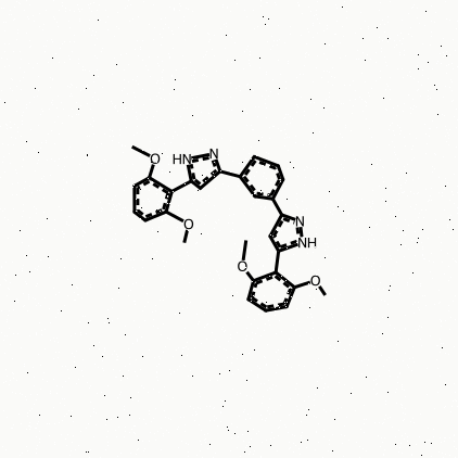 COc1cccc(OC)c1-c1cc(-c2cccc(-c3cc(-c4c(OC)cccc4OC)[nH]n3)c2)n[nH]1